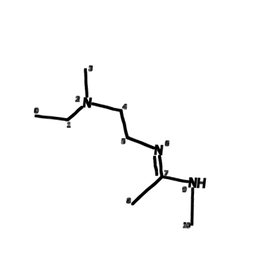 CCN(C)CC/N=C(\C)NC